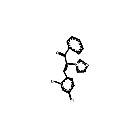 O=C(C(=Cc1ccc(Cl)cc1Cl)n1ccnc1)c1ccccc1